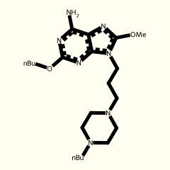 CCCCOc1nc(N)c2nc(OC)n(CCCN3CCN(CCCC)CC3)c2n1